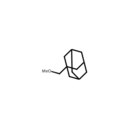 CO[CH]C12CC3CC(CC(C3)C1)C2